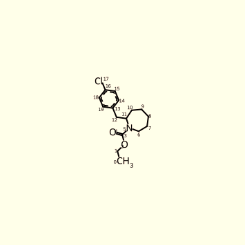 CCOC(=O)N1CCCCCC1Cc1ccc(Cl)cc1